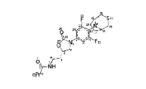 CCCC(=O)NCC[C@H]1CN(c2cc(F)c(N3C4CCC3CSC4)c(F)c2)C(=O)O1